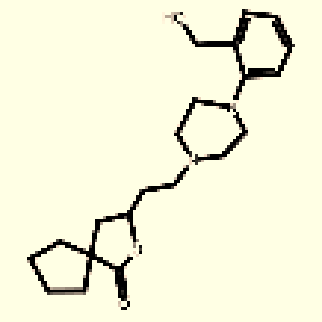 O=C1OC(CCN2CCN(c3ccccc3CO)CC2)CC12CCCC2